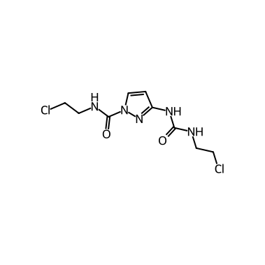 O=C(NCCCl)Nc1ccn(C(=O)NCCCl)n1